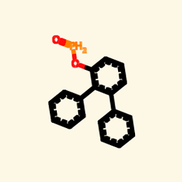 O=[PH2]Oc1cccc(-c2ccccc2)c1-c1ccccc1